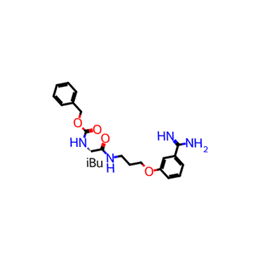 CC[C@H](C)[C@H](NC(=O)OCc1ccccc1)C(=O)NCCCOc1cccc(C(=N)N)c1